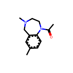 CC(=O)N1CCN(C)Cc2cc(C)ccc21